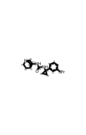 CC(C)c1cccc(C2(NC(=O)NC3CN4CCC3CC4)CC2)c1